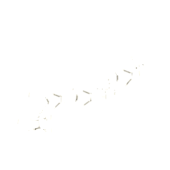 Cc1cc(Oc2cccc(CNS(=O)(=O)c3ccc(C(F)(F)F)cc3)c2)ccc1OC(C)(C)C(=O)O